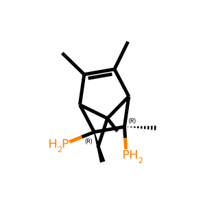 CC1=C(C)C2C(C)(C)C1[C@@](C)(P)[C@]2(C)P